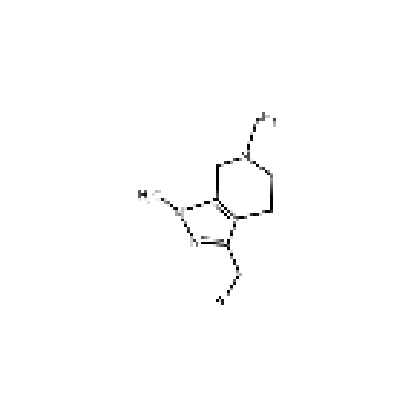 CC(C)Cc1nn(C)c2c1CCN(C)C2